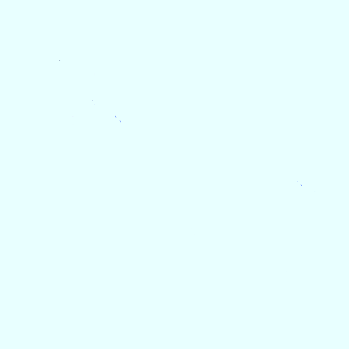 Cc1cc(OCCC2CCCN(C(=O)OC(C)(C)C)C2)cc(CN)c1C